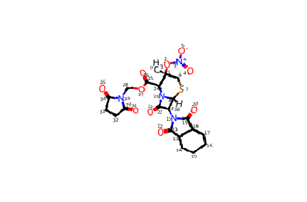 C[C@@]1(O[N+](=O)[O-])CS[C@@H]2C(N3C(=O)C4CCCCC4C3=O)C(=O)N2C1C(=O)OCN1C(=O)CCC1=O